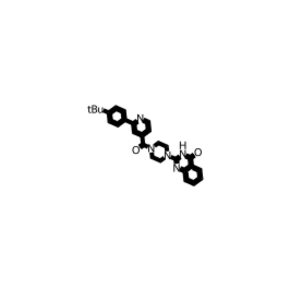 CC(C)(C)c1ccc(-c2cc(C(=O)N3CCN(c4nc5ccccc5c(=O)[nH]4)CC3)ccn2)cc1